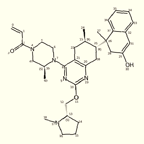 C=CC(=O)N1CCN(c2nc(OC[C@@H]3CCCN3C)nc3c2C[C@@H](C)[C@H](C2(C)CC(O)=Cc4ccccc42)C3)[C@@H](C)C1